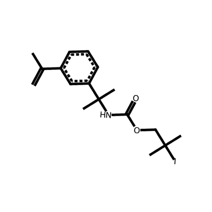 C=C(C)c1cccc(C(C)(C)NC(=O)OCC(C)(C)I)c1